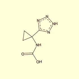 O=C(O)NC1(c2nn[nH]n2)CC1